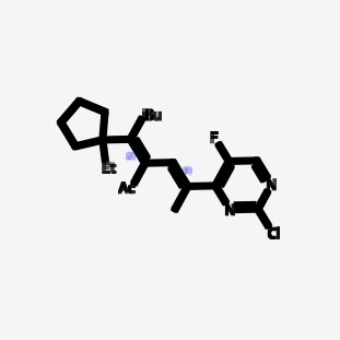 CCC(C)/C(=C(\C=C(/C)c1nc(Cl)ncc1F)C(C)=O)C1(CC)CCCC1